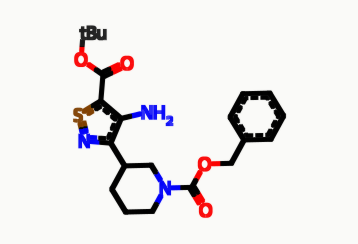 CC(C)(C)OC(=O)c1snc(C2CCCN(C(=O)OCc3ccccc3)C2)c1N